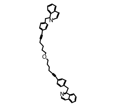 C(#Cc1ccc(Cc2nccc3ccccc23)cc1)CCCCOCCCCC#Cc1ccc(Cc2nccc3ccccc23)cc1